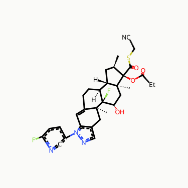 CCC(=O)O[C@]1(C(=O)SCC#N)[C@H](C)C[C@H]2[C@@H]3CCC4=Cc5c(cnn5-c5ccc(F)nc5)C[C@]4(C)[C@@]3(F)[C@@H](O)C[C@@]21C